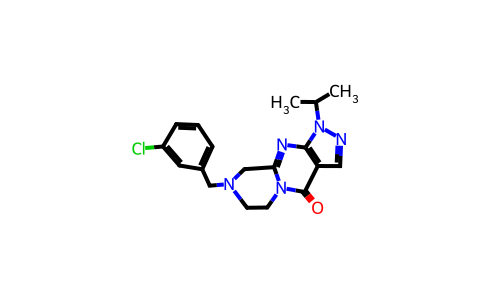 CC(C)n1ncc2c(=O)n3c(nc21)CN(Cc1cccc(Cl)c1)CC3